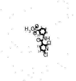 CS(=O)(=O)c1cccc(NC(=O)c2ccc(Cl)nc2Cl)c1